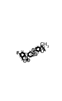 CN1CCOc2cc(S(=O)(=O)N3CCC(N4C(=O)OCc5cc(F)ccc54)CC3)ccc21